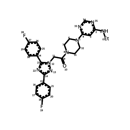 CCNc1cc(N2CCN(C(=O)Cn3nc(-c4ccc(F)cc4)nc3-c3ccc(F)cc3)CC2)ncn1